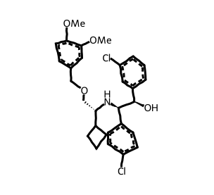 COc1ccc(COC[C@H](N[C@H](c2ccc(Cl)cc2)[C@H](O)c2cccc(Cl)c2)C2CCC2)cc1OC